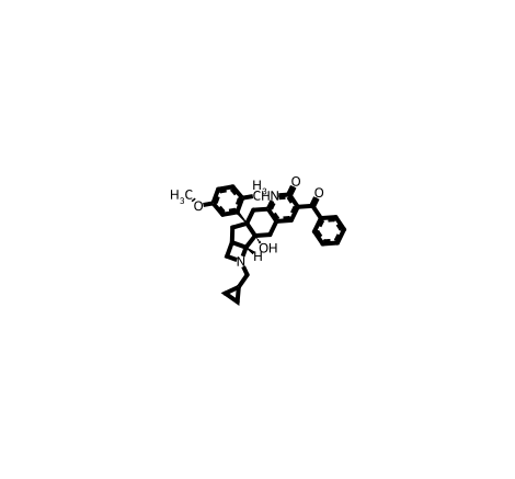 COc1ccc(C)c([C@@]23Cc4[nH]c(=O)c(C(=O)c5ccccc5)cc4C[C@@]2(O)[C@H]2C(CN2CC2CC2)C3)c1